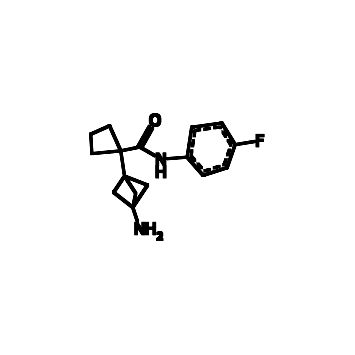 NC12CC(C3(C(=O)Nc4ccc(F)cc4)CCC3)(C1)C2